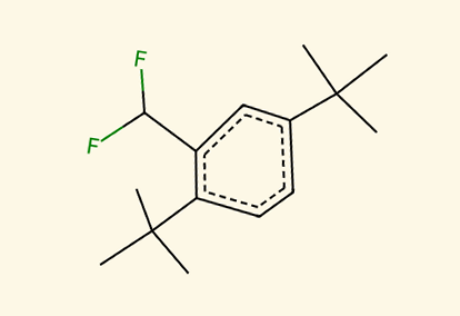 CC(C)(C)c1ccc(C(C)(C)C)c(C(F)F)c1